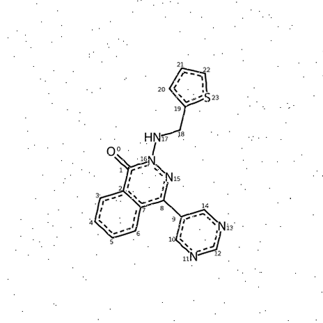 O=c1c2ccccc2c(-c2cncnc2)nn1NCc1cccs1